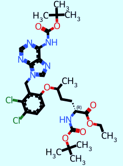 CCOC(=O)[C@@H](CCC(C)Oc1ccc(Cl)c(Cl)c1Cn1cnc2c(NC(=O)OC(C)(C)C)ncnc21)NC(=O)OC(C)(C)C